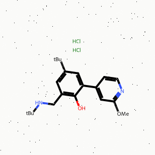 COc1cc(-c2cc(C(C)(C)C)cc(CNC(C)(C)C)c2O)ccn1.Cl.Cl